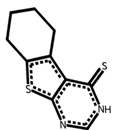 S=c1[nH]cnc2sc3c(c12)CCCC3